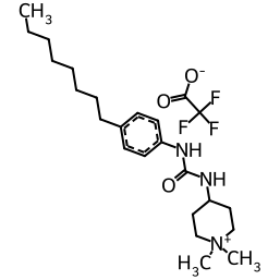 CCCCCCCCc1ccc(NC(=O)NC2CC[N+](C)(C)CC2)cc1.O=C([O-])C(F)(F)F